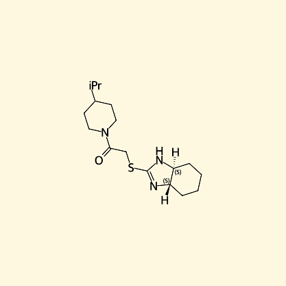 CC(C)C1CCN(C(=O)CSC2=N[C@H]3CCCC[C@@H]3N2)CC1